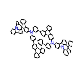 c1ccc(-c2cccc(N(c3ccc4c5ccccc5c5cc(-c6cccc(N(c7ccc(-c8ccc9c%10ccccc%10c%10ccccc%10c9c8)cc7)c7ccc8c(c7)-c7ccccc7C87c8ccccc8-n8c9ccccc9c9cccc7c98)c6)ccc5c4c3)c3ccc4c(c3)c3cccc5c3n4-c3ccccc3C53c4ccccc4-c4ccccc43)c2)cc1